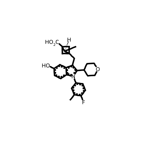 Cc1cc(-n2c(C3CCOCC3)c(CC34CC(C(=O)O)(C3)[C@H]4C)c3cc(O)ccc32)ccc1F